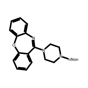 CCCCCCCCCN1CCN(C2=Nc3ccccc3Oc3ccccc32)CC1